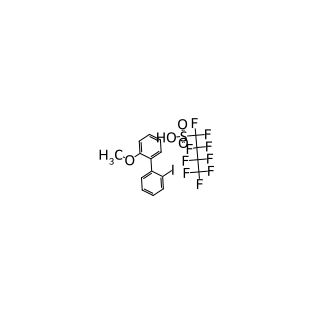 COc1ccccc1-c1ccccc1I.O=S(=O)(O)C(F)(F)C(F)(F)C(F)(F)C(F)(F)F